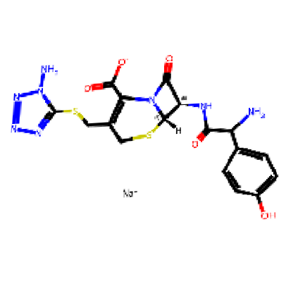 NC(C(=O)N[C@@H]1C(=O)N2C(C(=O)[O-])=C(CSc3nnnn3N)CS[C@@H]12)c1ccc(O)cc1.[Na+]